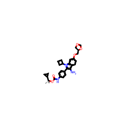 C[C@@H](OC(=O)Nc1ccc(-c2c(N)c3ccc(OCC4COCO4)cc3n2C2CCC2)cc1)C1CC1